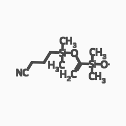 C=C(O[Si](C)(C)CCCC#N)[Si](C)(C)[O]